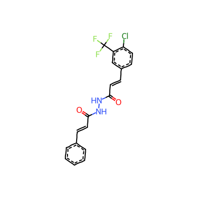 O=C(C=Cc1ccccc1)NNC(=O)/C=C/c1ccc(Cl)c(C(F)(F)F)c1